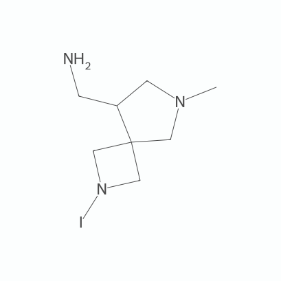 CN1CC(CN)C2(C1)CN(I)C2